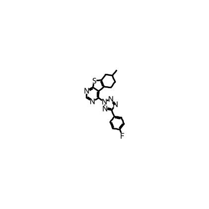 CC1CCc2c(sc3ncnc(-n4nnc(-c5ccc(F)cc5)n4)c23)C1